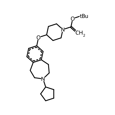 C=C(OC(C)(C)C)N1CCC(Oc2ccc3c(c2)CCN(C2CCCC2)CC3)CC1